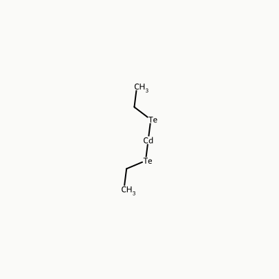 CC[Te][Cd][Te]CC